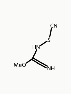 COC(=N)NSC#N